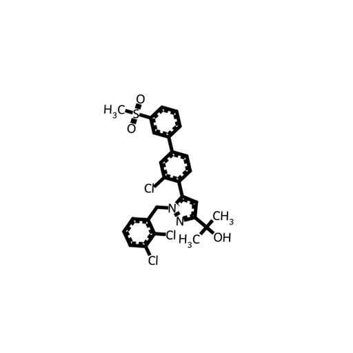 CC(C)(O)c1cc(-c2ccc(-c3cccc(S(C)(=O)=O)c3)cc2Cl)n(Cc2cccc(Cl)c2Cl)n1